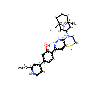 COc1cc(-c2ccc(-c3cc4c(nn3)N([C@@H]3C[C@H]5CCC[C@@H](C3)N5)CCS4)c(O)c2)ccn1